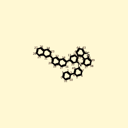 c1ccc(-c2cccc(N(c3cccc(-c4ccc5ccc(-c6ccc7ccccc7c6)cc5c4)c3)c3cccc4sc5ccccc5c34)c2)cc1